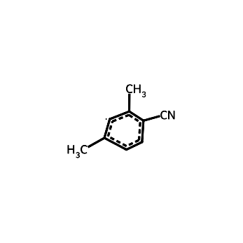 Cc1[c]c(C)c(C#N)cc1